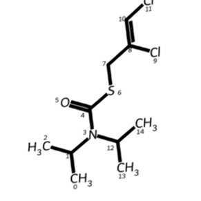 CC(C)N(C(=O)SC/C(Cl)=C/Cl)C(C)C